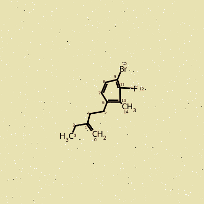 C=C(CC)CCc1ccc(Br)c(F)c1C